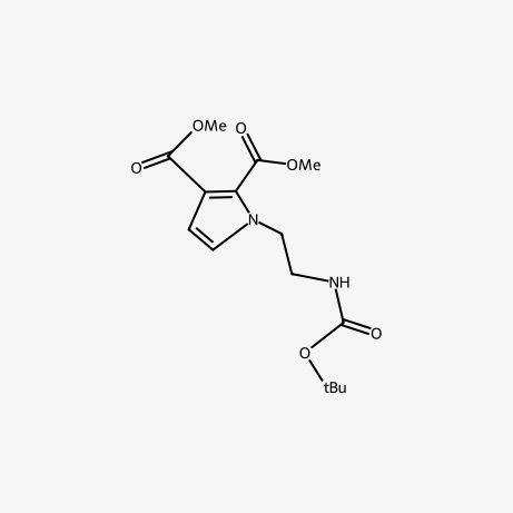 COC(=O)c1ccn(CCNC(=O)OC(C)(C)C)c1C(=O)OC